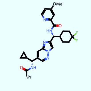 CCCC(=O)N[C@@H](c1cnn2cc([C@@H](NC(=O)c3cc(OC)ccn3)C3CCC(F)(F)CC3)nc2c1)C1CC1